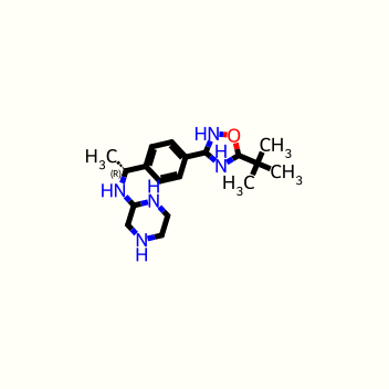 C[C@@H](NC1CNCCN1)c1ccc(C2NOC(C(C)(C)C)N2)cc1